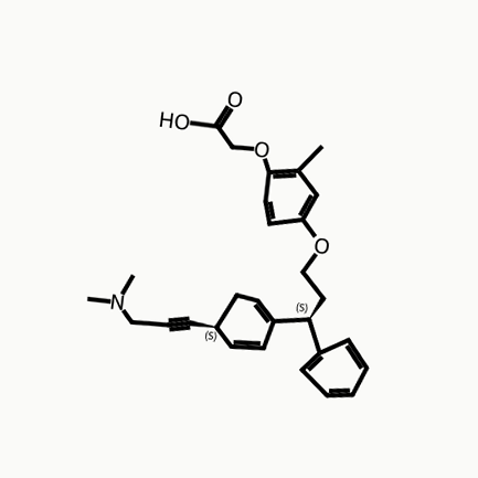 Cc1cc(OCC[C@H](C2=CC[C@H](C#CCN(C)C)C=C2)c2ccccc2)ccc1OCC(=O)O